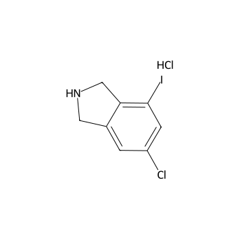 Cl.Clc1cc(I)c2c(c1)CNC2